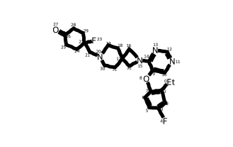 CCc1cc(F)ccc1Oc1cncnc1N1CC2(CCN(CC3(F)CCC(=O)CC3)CC2)C1